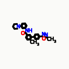 Cc1nnc(-c2ccc(-c3cc(C(=O)Nc4cccc(N5CCCCC5)c4)ccc3C)cc2)o1